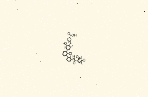 COc1nc(-c2cccc(-c3cccc(NC(=O)c4cn(C)c(=O)n(C)c4=O)c3C)c2Cl)cc2c1[C@@H](N1CC[C@H](C(=O)O)C1)CC2